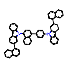 C1=C(c2cccc3ccccc23)CCc2c1n(-c1ccc(-c3ccc(-n4c5ccccc5c5ccc(-c6cccc7ccccc67)cc54)c4ccccc34)cc1)c1ccccc21